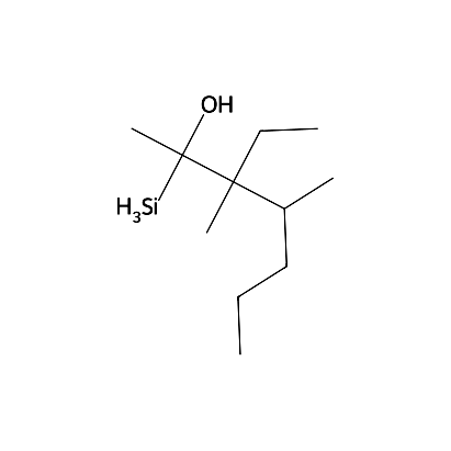 CCCC(C)C(C)(CC)C(C)(O)[SiH3]